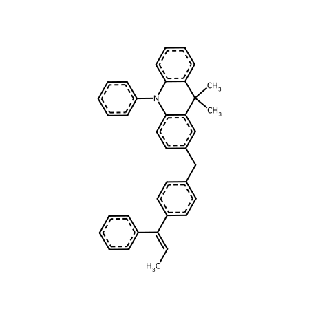 C/C=C(\c1ccccc1)c1ccc(Cc2ccc3c(c2)C(C)(C)c2ccccc2N3c2ccccc2)cc1